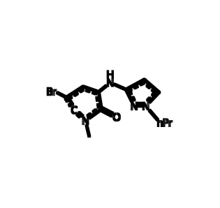 CCCn1ccc(Nc2cc(Br)cn(C)c2=O)n1